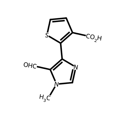 Cn1cnc(-c2sccc2C(=O)O)c1C=O